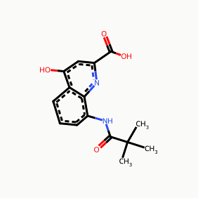 CC(C)(C)C(=O)Nc1cccc2c(O)cc(C(=O)O)nc12